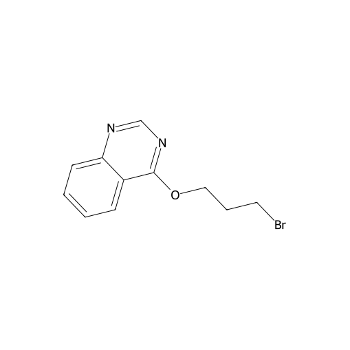 BrCCCOc1ncnc2ccccc12